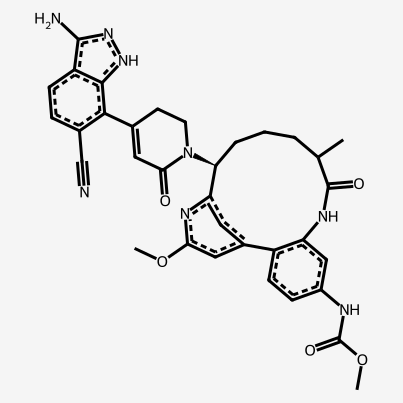 COC(=O)Nc1ccc2c(c1)NC(=O)C(C)CCC[C@H](N1CCC(c3c(C#N)ccc4c(N)n[nH]c34)=CC1=O)c1cc-2cc(OC)n1